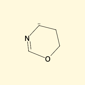 [C]1CCOC=N1